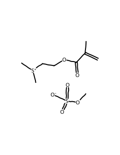 C=C(C)C(=O)OCC[S+](C)C.COS(=O)(=O)[O-]